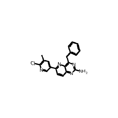 Cc1cc(-c2ccc3nc(N)nc(Cc4ccccc4)c3n2)cnc1Cl